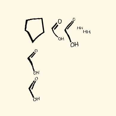 C1CCCC1.O=CO.O=CO.O=CO.O=CO.[HH].[HH]